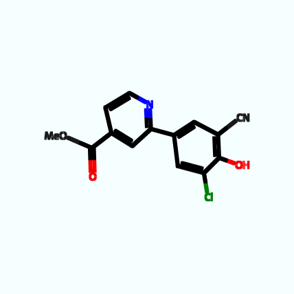 COC(=O)c1ccnc(-c2cc(Cl)c(O)c(C#N)c2)c1